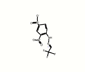 O=[N+]([O-])c1ccc(N/N=C/C(F)(F)F)c([N+](=O)[O-])c1